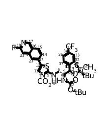 CC(C)(C)OC(=O)N[C@H](CN(C(=O)O)c1ncc(-c2ccc3cnc(F)cc3c2)s1)[C@@H](O[Si](C)(C)C(C)(C)C)c1ccc(C(F)(F)F)cc1